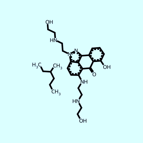 CCCC(C)CC.O=C1c2c(O)cccc2-c2nn(CCNCCO)c3ccc(NCCNCCO)c1c23